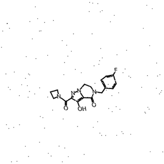 O=C(c1nn2c(c1O)C(=O)N(Cc1ccc(F)cc1)CC2)N1CCC1